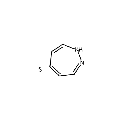 C1=CC=NNC=C1.[S]